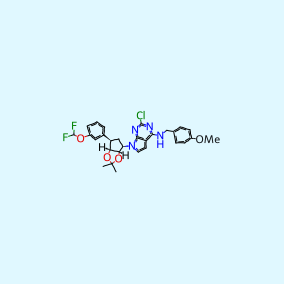 COc1ccc(CNc2nc(Cl)nc3c2ccn3[C@@H]2C[C@H](c3cccc(OC(F)F)c3)[C@H]3OC(C)(C)O[C@H]32)cc1